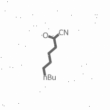 CCCCCCCCC([O])C#N